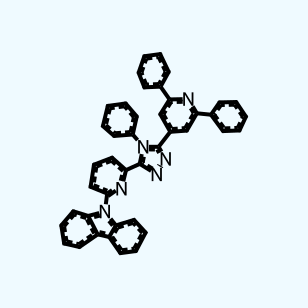 c1ccc(-c2cc(-c3nnc(-c4cccc(-n5c6ccccc6c6ccccc65)n4)n3-c3ccccc3)cc(-c3ccccc3)n2)cc1